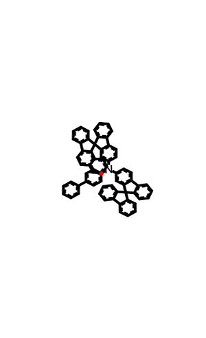 c1ccc(-c2ccc(N(c3ccc4c(c3)C3(c5ccccc5-c5ccccc53)c3ccccc3-4)c3ccc4c(c3)C3(c5ccccc5-4)c4ccccc4-c4ccc5ccccc5c43)cc2)cc1